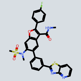 CNC(=O)c1c(-c2ccc(F)cc2)oc2cc(N(C)S(C)(=O)=O)c(-c3cccc(-c4nc5ncccc5s4)c3)cc12